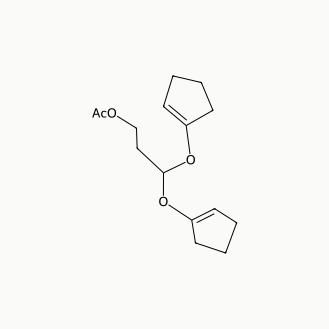 CC(=O)OCCC(OC1=CCCC1)OC1=CCCC1